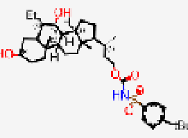 CC[C@@H]1C2C[C@H](O)CCC2(C)[C@H]2CCC3(C)C([C@H](C)CCOC(=O)NS(=O)(=O)c4ccc(C(C)(C)C)cc4)CC[C@H]3[C@H]2[C@@H]1O